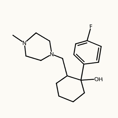 CN1CCN(CC2CCCCC2(O)c2ccc(F)cc2)CC1